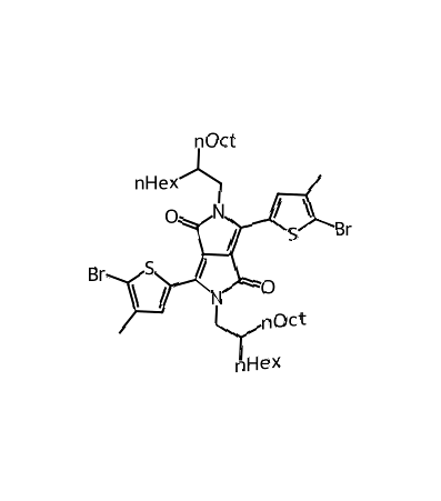 CCCCCCCCC(CCCCCC)CN1C(=O)C2=C(c3cc(C)c(Br)s3)N(CC(CCCCCC)CCCCCCCC)C(=O)C2=C1c1cc(C)c(Br)s1